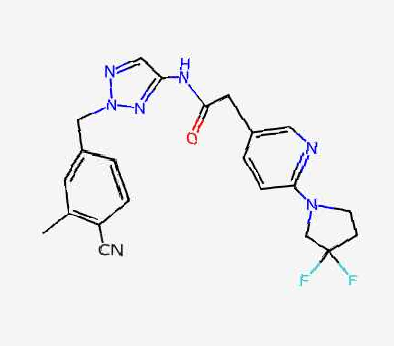 Cc1cc(Cn2ncc(NC(=O)Cc3ccc(N4CCC(F)(F)C4)nc3)n2)ccc1C#N